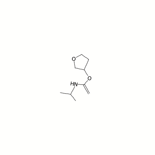 C=C(NC(C)C)OC1CCOC1